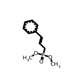 COP(=O)(CC=Cc1ccccc1)OC